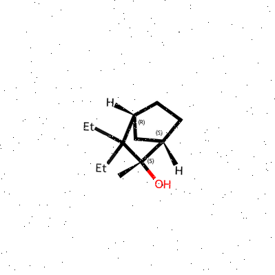 CCC1(CC)[C@@H]2CC[C@@H](C2)[C@]1(C)O